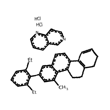 CCc1cccc(CC)c1-c1cc(C)c2c3c(ccc2c1)C1=C(CCC=C1)CC3.Cl.Cl.c1cnc2ccncc2c1